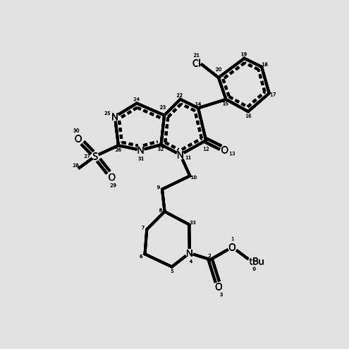 CC(C)(C)OC(=O)N1CCCC(CCn2c(=O)c(-c3ccccc3Cl)cc3cnc(S(C)(=O)=O)nc32)C1